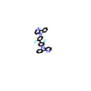 Fc1cc(-n2c3ccccc3c3ncccc32)ccc1-c1ccc(-n2c3ccccc3c3ncccc32)cc1F